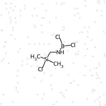 C[Si](C)(Cl)CNB(Cl)Cl